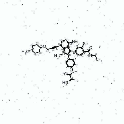 C=C(F)C(=O)Nc1ccc(-c2c(-c3ccc(C(=O)NCC(F)(F)F)c(F)c3)c3c(N)ncc(C#CCOC4CCN(C)CC4)c3n2C)cc1